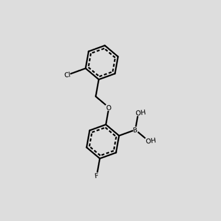 OB(O)c1cc(F)ccc1OCc1ccccc1Cl